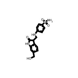 NS(=O)(=O)c1ccc(NCC2C(=O)Nc3cc(CO)ccc32)cc1